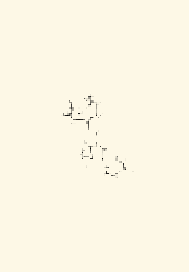 Cn1c(=O)sc2c(CCN(CCc3ccc(I)cc3)C(=O)OC(C)(C)C)ccc(O)c21